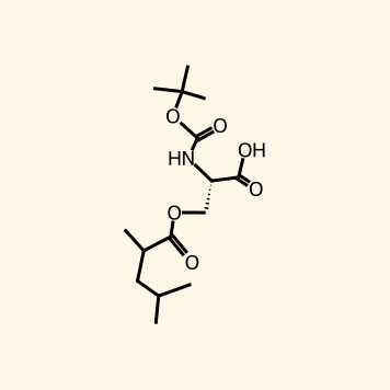 CC(C)CC(C)C(=O)OC[C@H](NC(=O)OC(C)(C)C)C(=O)O